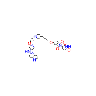 O=C1CCC(N2C(=O)c3ccc(OCCCCCC4CCN(C[C@H]5C[C@H](Oc6cc(Nc7ccc8ncccc8n7)ccn6)C5)CC4)cc3C2=O)C(=O)N1